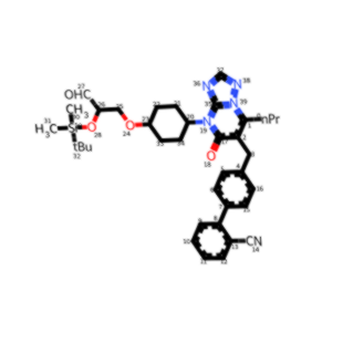 CCCc1c(Cc2ccc(-c3ccccc3C#N)cc2)c(=O)n(C2CCC(OCC(C=O)O[Si](C)(C)C(C)(C)C)CC2)c2ncnn12